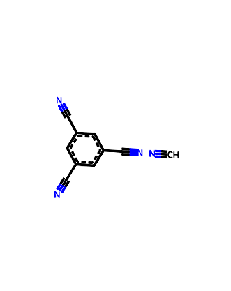 C#N.N#Cc1cc(C#N)cc(C#N)c1